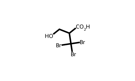 O=C(O)C(CO)C(Br)(Br)Br